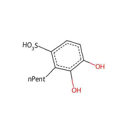 CCCCCc1c(S(=O)(=O)O)ccc(O)c1O